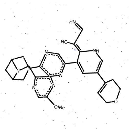 COc1cnc(CN2C3CC2CN(c2cnc(C4=CC(C5=CCOCC5)=CN/C4=C(/C#N)C=N)cn2)C3)cn1